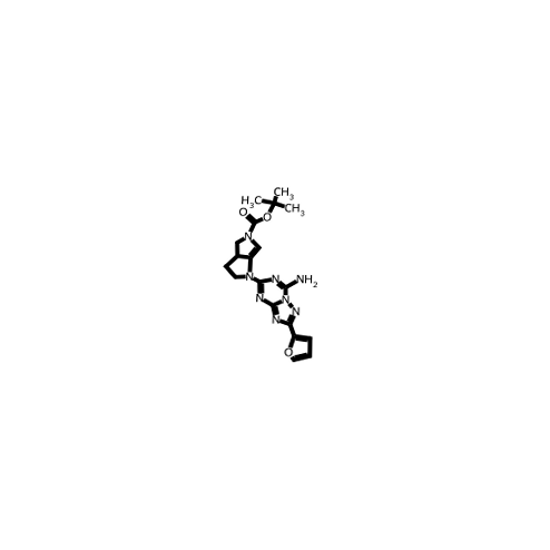 CC(C)(C)OC(=O)N1C=C2C(CCN2c2nc(N)n3nc(-c4ccco4)nc3n2)C1